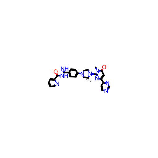 C[C@@H]1CN(c2ccc(C(=N)NC(=O)c3ccccn3)cc2)CCN1c1nc(-c2ccncn2)cc(=O)n1C